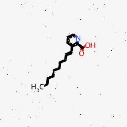 CCCCCCCCC=Cc1cccnc1C(=O)O